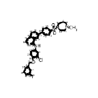 CN1CCCN(S(=O)(=O)c2ccc(-c3ccc4ccnc(Nc5ccc(OCc6cccc(F)c6)c(Cl)c5)c4c3)cc2)CC1